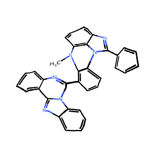 CN1c2c(-c3nc4ccccc4c4nc5ccccc5n34)cccc2-n2c(-c3ccccc3)nc3cccc1c32